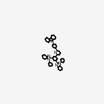 c1ccc(-n2c(-c3cc(-c4cccc(-c5ccc(-n6c7ccccc7c7ccccc76)cc5)n4)cc(-c4nc5ccccc5n4-c4ccccc4)c3)nc3ccccc32)cc1